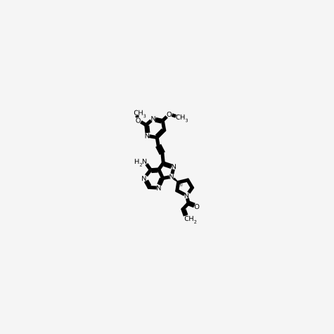 C=CC(=O)N1CC[C@H](n2nc(C#Cc3cc(OC)nc(OC)n3)c3c(N)ncnc32)C1